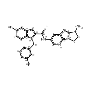 NC1CCn2c1nc1cc(NC(=O)c3cc4cc(F)ccc4n3Cc3cccc(F)c3)cnc12